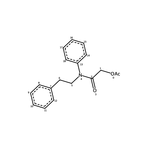 CC(=O)OCC(=O)N(CCc1ccccc1)c1ccccc1